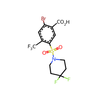 O=C(O)c1cc(S(=O)(=O)N2CCC(F)(F)CC2)c(C(F)(F)F)cc1Br